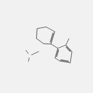 CN(C)C[C@@H]1CCCC=C1c1ccccc1O